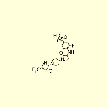 CS(=O)(=O)c1ccc(N[C@H]2CCN(C3CCN(c4ncc(C(F)(F)F)cc4Cl)CC3)C2=O)c(F)c1